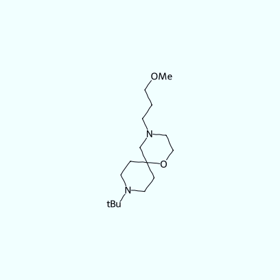 COCCCN1CCOC2(CCN(C(C)(C)C)CC2)C1